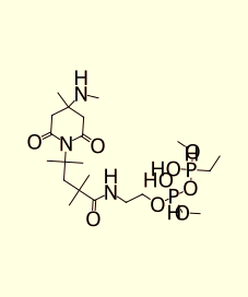 CC[PH](O)(OC)O[PH](O)(OC)OCCNC(=O)C(C)(C)CC(C)(C)N1C(=O)CC(C)(NC)CC1=O